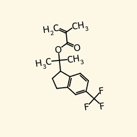 C=C(C)C(=O)OC(C)(C)C1CCc2cc(C(F)(F)F)ccc21